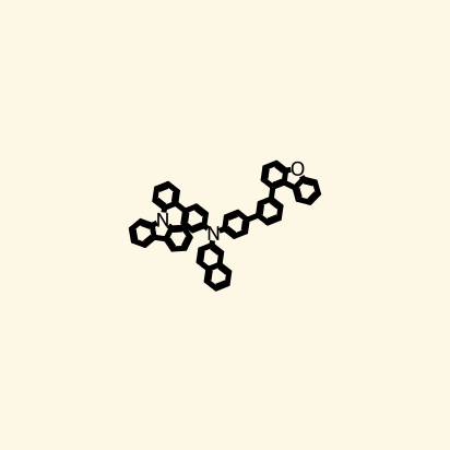 c1cc(-c2ccc(N(c3ccc(-c4ccccc4-n4c5ccccc5c5ccccc54)cc3)c3ccc4ccccc4c3)cc2)cc(-c2cccc3oc4ccccc4c23)c1